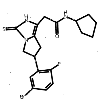 O=C(Cc1[nH]c(=S)n2c1CC(c1cc(Br)ccc1F)C2)NC1CCCC1